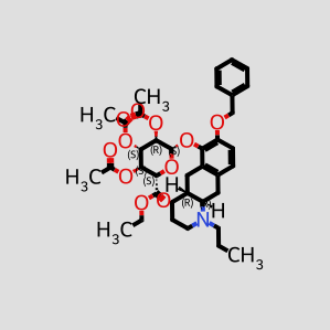 CCCN1CCC[C@@H]2Cc3c(ccc(OCc4ccccc4)c3O[C@@H]3O[C@H](C(=O)OCC)[C@@H](OC(C)=O)[C@H](OC(C)=O)[C@H]3OC(C)=O)C[C@H]21